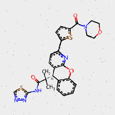 CC(C)(C(=O)Nc1nncs1)[C@H]1c2ccccc2Oc2nc(-c3ccc(C(=O)N4CCOCC4)s3)ccc21